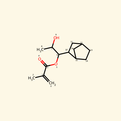 C=C(C)C(=O)OC(C(C)O)C1CC2CCC1C2